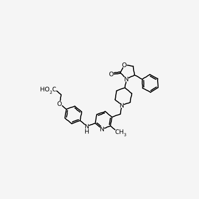 Cc1nc(Nc2ccc(OCC(=O)O)cc2)ccc1CN1CCC(N2C(=O)OCC2c2ccccc2)CC1